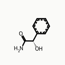 NC(=O)[C@@H](O)c1ccccc1